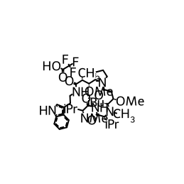 CC[C@H](C)[C@@H]([C@@H](CC(=O)N1CCC[C@H]1[C@H](OC)[C@@H](C)C(=O)NCCc1c[nH]c2ccccc12)OC)N(C)[C@H](C(=O)NC(=O)[C@@H](NC)C(C)C)C(C)C.O=C(O)C(F)(F)F